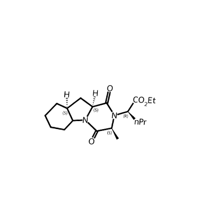 CCC[C@H](C(=O)OCC)N1C(=O)[C@@H]2C[C@@H]3CCCCC3N2C(=O)[C@@H]1C